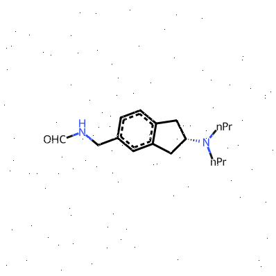 CCCN(CCC)[C@H]1Cc2ccc(CNC=O)cc2C1